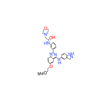 COCCOc1ccc2nc(-c3cccc(NC(O)CN4CCOCC4)c3)nc(Nc3ccc4[nH]ncc4c3)c2c1